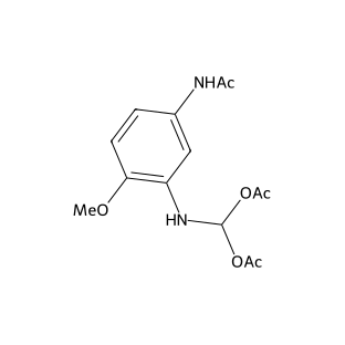 COc1ccc(NC(C)=O)cc1NC(OC(C)=O)OC(C)=O